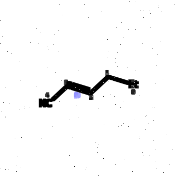 CCC/C=C/C#N